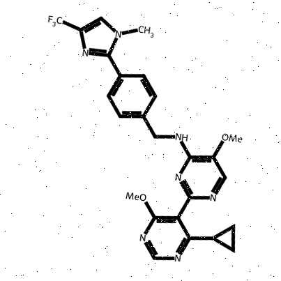 COc1cnc(-c2c(OC)ncnc2C2CC2)nc1NCc1ccc(-c2nc(C(F)(F)F)cn2C)cc1